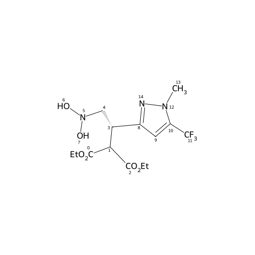 CCOC(=O)C(C(=O)OCC)[C@H](CN(O)O)c1cc(C(F)(F)F)n(C)n1